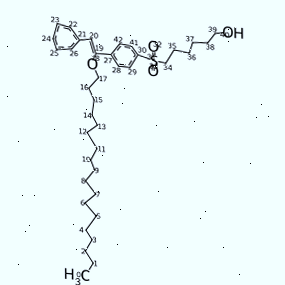 CCCCCCCCCCCCCCCCCCOC(=Cc1ccccc1)c1ccc(S(=O)(=O)CCCCCCO)cc1